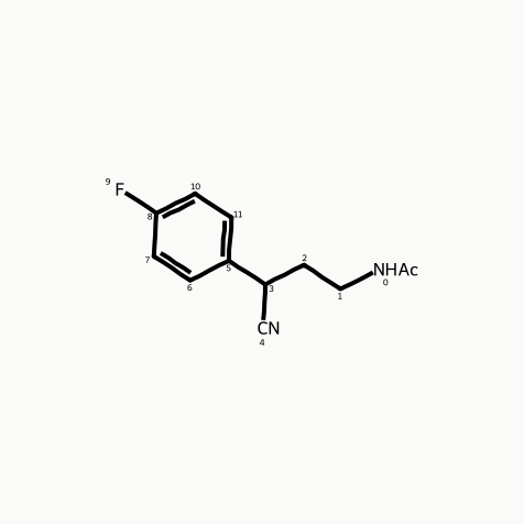 CC(=O)NCCC(C#N)c1ccc(F)cc1